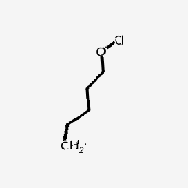 [CH2]CCCCOCl